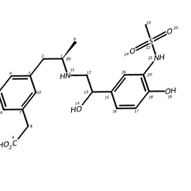 C[C@H](Cc1cccc(CC(=O)O)c1)NCC(O)c1ccc(O)c(NS(C)(=O)=O)c1